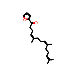 CC(C)=CCCC(C)=CCCC(C)=CCCC(=O)c1ccco1